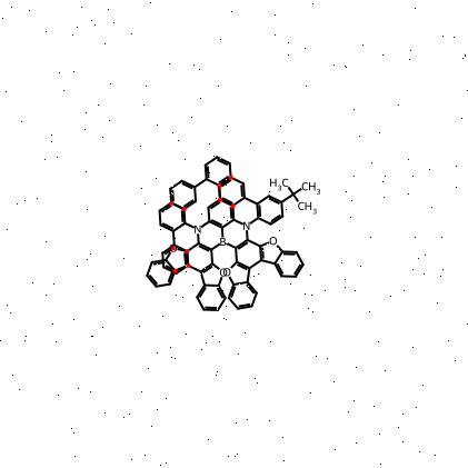 CC(C)(C)c1ccc(N2c3cc(-c4ccccc4-c4ccccc4)cc4c3B(c3c(c5oc6ccccc6c5c5c3oc3ccccc35)N4c3ccccc3-c3ccccc3)c3c2c2oc4ccccc4c2c2c3oc3ccccc32)c(-c2ccccc2)c1